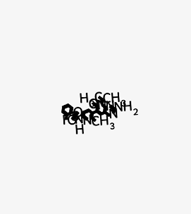 Cc1nc(NS(=O)(=O)c2ccccc2F)ccc1-c1cc2cnc(N)nc2n(C(C)C)c1=O